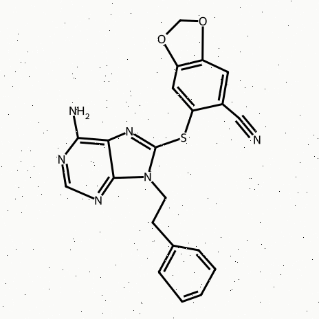 N#Cc1cc2c(cc1Sc1nc3c(N)ncnc3n1CCc1ccccc1)OCO2